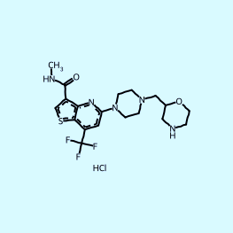 CNC(=O)c1csc2c(C(F)(F)F)cc(N3CCN(CC4CNCCO4)CC3)nc12.Cl